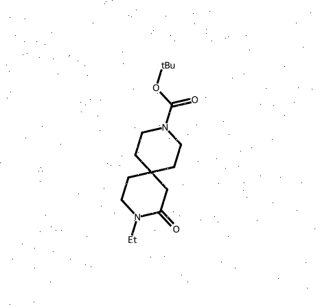 CCN1CCC2(CCN(C(=O)OC(C)(C)C)CC2)CC1=O